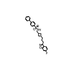 O=S(=O)(NCC1CN(CCCc2noc3cc(F)ccc23)C1)c1ccc(-c2ccccc2)cc1